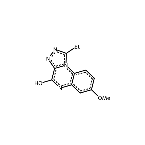 CCc1nnc2c(O)nc3cc(OC)ccc3n12